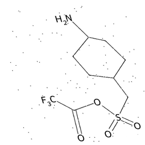 NC1CCC(CS(=O)(=O)OC(=O)C(F)(F)F)CC1